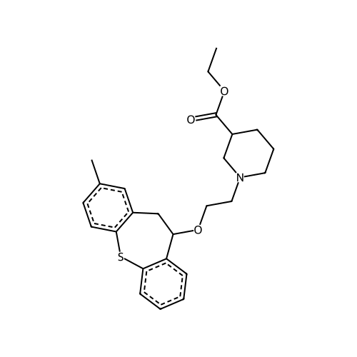 CCOC(=O)C1CCCN(CCOC2Cc3cc(C)ccc3Sc3ccccc32)C1